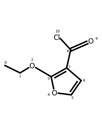 CCOc1occc1C(=O)Cl